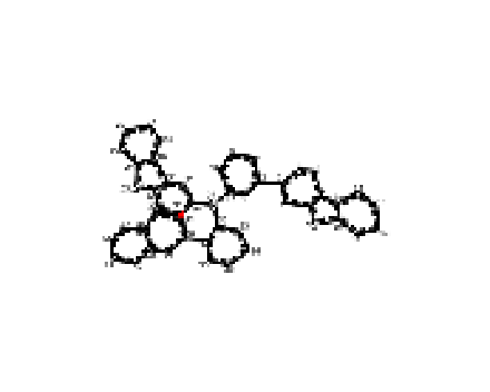 c1cc(-c2ccc3c(c2)sc2ccccc23)cc(N(c2ccc3sc4ccccc4c3c2)c2ccccc2-c2ccc3ccccc3c2)c1